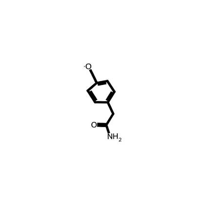 NC(=O)Cc1ccc([O])cc1